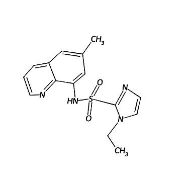 CCn1ccnc1S(=O)(=O)Nc1cc(C)cc2cccnc12